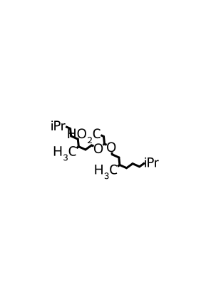 CC(C)CCCC(C)CCOC(CC(=O)O)OCCC(C)CCCC(C)C